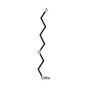 COCCOCCCC[S]